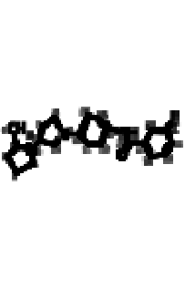 CC1CCCN1C1CCN(c2ccc(NC(=O)c3cccc(F)c3)cc2)C1